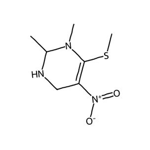 CSC1=C([N+](=O)[O-])CNC(C)N1C